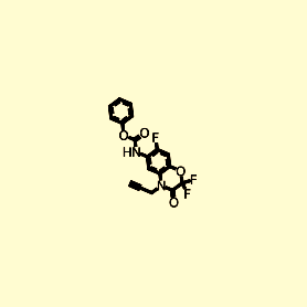 C#CCN1C(=O)C(F)(F)Oc2cc(F)c(NC(=O)Oc3ccccc3)cc21